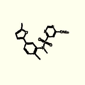 COc1cc(S(=O)(=O)N(C)c2cc(-c3ccc(C)o3)ccc2C)ncn1